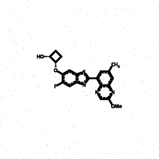 COc1cnc2c(-c3nc4cc(F)c(O[C@H]5CC[C@H]5O)cc4s3)cc(C)cc2n1